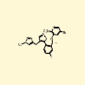 CCn1cc(Cc2cnsc2-c2ccc(F)cc2[C@@H](C)Oc2cc(Br)cnc2[N+](=O)[O-])nn1